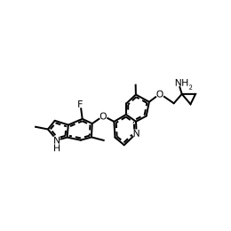 Cc1cc2c(F)c(Oc3ccnc4cc(OCC5(N)CC5)c(C)cc34)c(C)cc2[nH]1